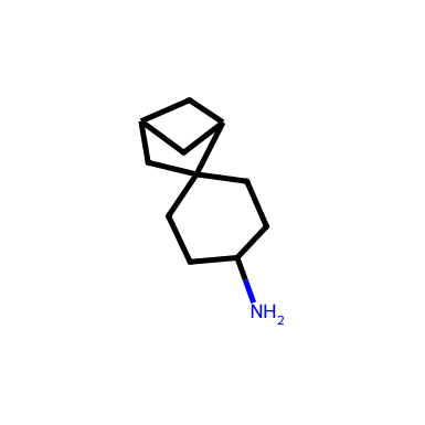 NC1CCC2(CC1)CC1CC2C1